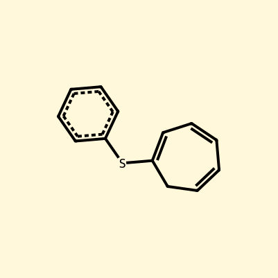 C1=CC=C(Sc2ccccc2)CC=C1